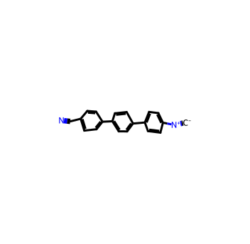 [C-]#[N+]c1ccc(-c2ccc(-c3ccc(C#N)cc3)cc2)cc1